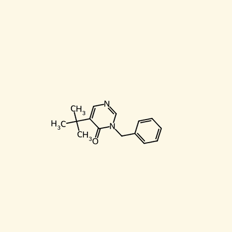 CC(C)(C)c1cncn(Cc2ccccc2)c1=O